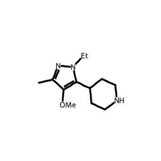 CCn1nc(C)c(OC)c1C1CCNCC1